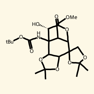 COCC1C2OC(=O)[C@@H](O)C1(NC(=O)OC(C)(C)C)C1OC(C)(C)OC1C21COC(C)(C)O1